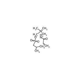 C=CC(N)=O.CC(C)CS(=O)(=O)[O-].C[N+](C)(C)C